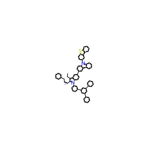 CCc1c(/C=C\Cc2ccccc2)n(-c2cccc(-c3cc(-c4ccccc4)cc(-c4ccccc4)c3)c2)c2ccc(-c3ccc4c(c3)c3ccccc3n4-c3ccc4sc5ccccc5c4c3)cc12